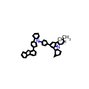 CC/C=C\c1c(C)c2cc(-c3ccc(-n4c5ccccc5c5ccc(-c6cccc7c6Cc6ccccc6-7)cc54)cc3)cc3c4c(n1c23)C=CC1CC41